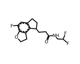 O=C(CCC1CCc2cc(F)c3c(c21)CCO3)NCC(F)F